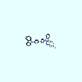 C=C/C=C\C1=C(C)C2CC=CC=C2N1c1ccc(-c2ccc(-n3c4ccccc4c4ccccc43)cc2)cc1